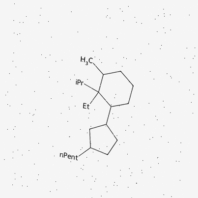 CCCCCC1CCC([C]2CCCC(C)C2(CC)C(C)C)C1